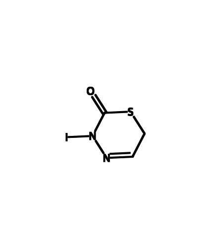 O=C1SCC=NN1I